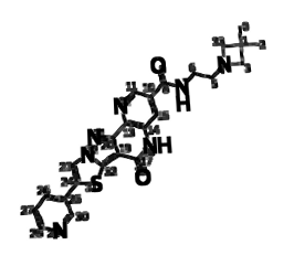 CC1(C)CN(CCNC(=O)c2cnc3c(c2)[nH]c(=O)c2c3nn3cc(-c4cccnc4)sc23)C1